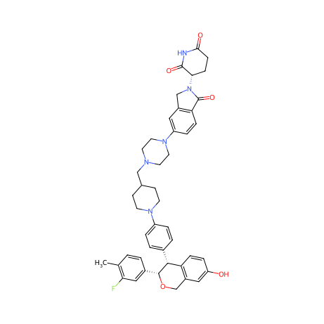 Cc1ccc([C@H]2OCc3cc(O)ccc3[C@H]2c2ccc(N3CCC(CN4CCN(c5ccc6c(c5)CN([C@H]5CCC(=O)NC5=O)C6=O)CC4)CC3)cc2)cc1F